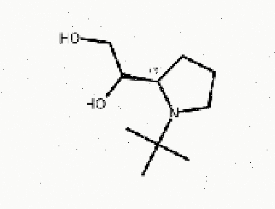 CC(C)(C)N1CCC[C@@H]1C(O)CO